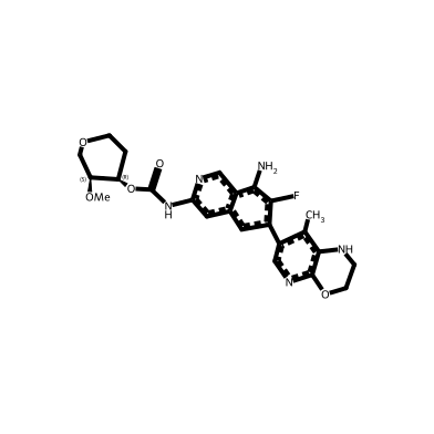 CO[C@H]1COCC[C@H]1OC(=O)Nc1cc2cc(-c3cnc4c(c3C)NCCO4)c(F)c(N)c2cn1